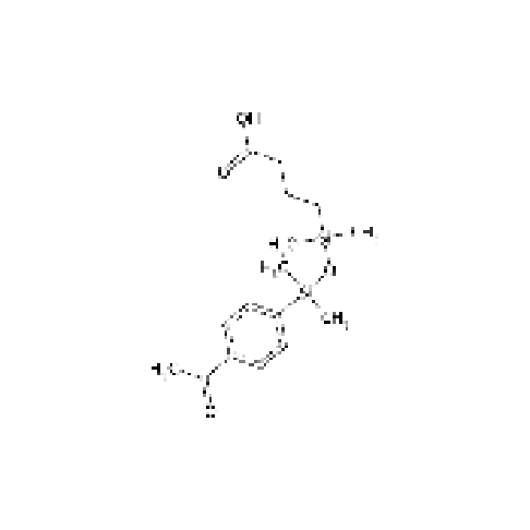 CC(=O)c1ccc([Si](C)(C)O[Si](C)(C)CCCC(=O)O)cc1